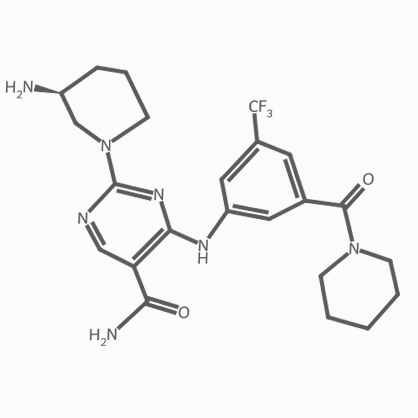 NC(=O)c1cnc(N2CCC[C@H](N)C2)nc1Nc1cc(C(=O)N2CCCCC2)cc(C(F)(F)F)c1